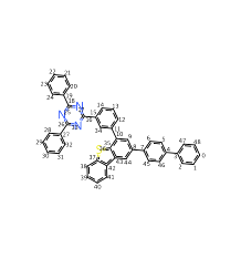 c1ccc(-c2ccc(-c3cc(-c4cccc(-c5nc(-c6ccccc6)nc(-c6ccccc6)n5)c4)c4sc5ccccc5c4c3)cc2)cc1